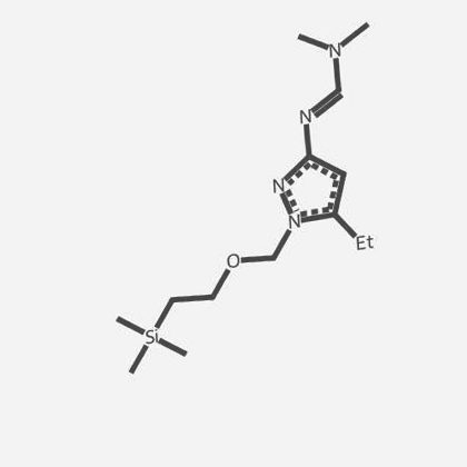 CCc1cc(N=CN(C)C)nn1COCC[Si](C)(C)C